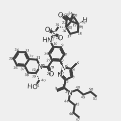 C=C(c1cc(C)n(-c2ccc(NS(=O)(=O)C[C@]34CC[C@H](CC3=O)C4(C)C)cc2C(=O)N2Cc3ccccc3C[C@H]2CO)n1)N(CCCC)CCCC